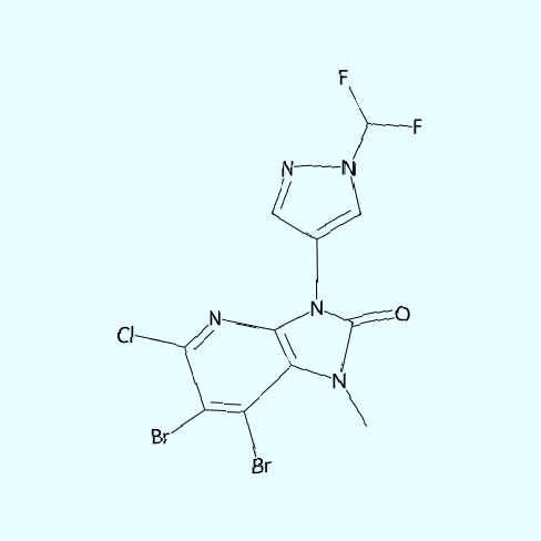 Cn1c(=O)n(-c2cnn(C(F)F)c2)c2nc(Cl)c(Br)c(Br)c21